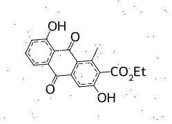 CCOC(=O)c1c(O)cc2c(c1C)C(=O)c1c(O)cccc1C2=O